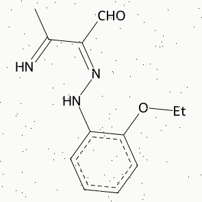 CCOc1ccccc1N/N=C(/C=O)C(C)=N